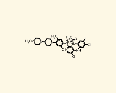 Cc1cc(Nc2ncc(Cl)c(Nc3cc(Cl)c(F)cc3NS(C)(=O)=O)n2)c(Cl)cc1N1CCC(N2CCN(C)CC2)CC1